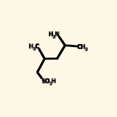 CC(N)CC(C)CS(=O)(=O)O